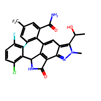 CC(O)c1c2cc(-c3c(F)cc(C(F)(F)F)cc3C(N)=O)c3c(c2nn1C)C(=O)NC3c1cc(F)ccc1Cl